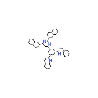 c1ccc2cc(-c3cc(-c4cc(-c5ccc6ccccc6n5)cc(-c5ccc6ccccc6n5)c4)nc(-c4ccc5ccccc5c4)n3)ccc2c1